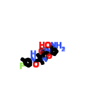 Cc1cc(NC(=O)c2c(C)c(C(=O)C(=O)NC3(C(N)O)CCCC3)n(C)c2C)ccc1F